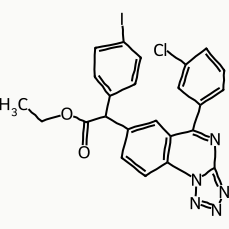 CCOC(=O)C(c1ccc(I)cc1)c1ccc2c(c1)c(-c1cccc(Cl)c1)nc1nnnn12